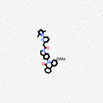 COc1ccc(C2=C(C(=O)Nc3ccc4c(c3)CCN4C(=O)Cc3cccc(-n4c(C)ccc4C)n3)CCCC2)cc1